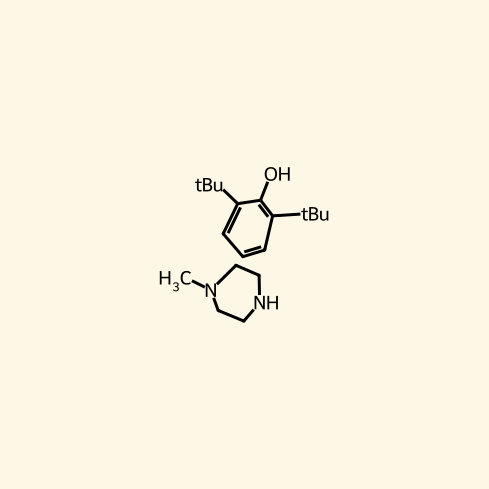 CC(C)(C)c1cccc(C(C)(C)C)c1O.CN1CCNCC1